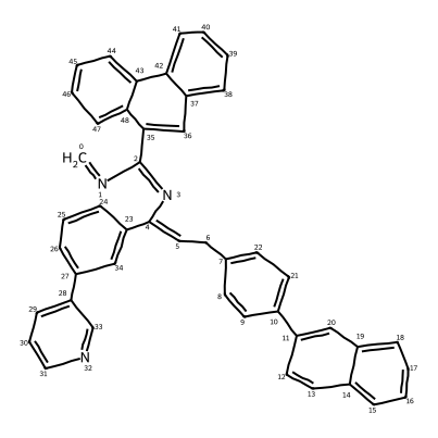 C=N/C(=N\C(=C/Cc1ccc(-c2ccc3ccccc3c2)cc1)c1cccc(-c2cccnc2)c1)c1cc2ccccc2c2ccccc12